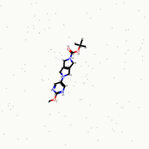 COc1ncc(N2CC3=C(CN(C(=O)OC(C)(C)C)C3)C2)cn1